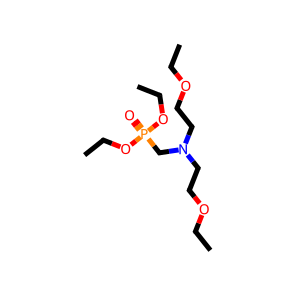 CCOCCN(CCOCC)CP(=O)(OCC)OCC